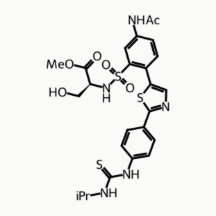 COC(=O)[C@H](CO)NS(=O)(=O)c1cc(NC(C)=O)ccc1-c1cnc(-c2ccc(NC(=S)NC(C)C)cc2)s1